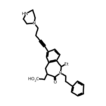 CCC1c2ccc(C#CCCN3CCNCC3)cc2CC(CC(=O)O)C(=O)N1CCc1ccccc1